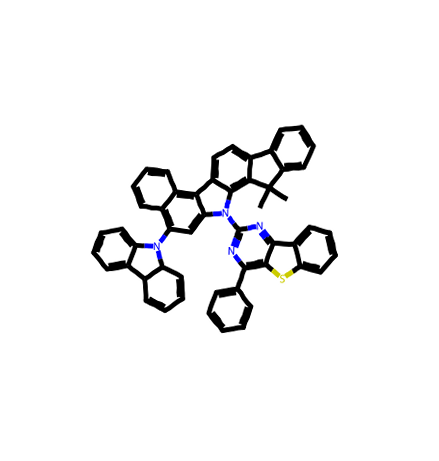 CC1(C)c2ccccc2-c2ccc3c4c5ccccc5c(N5c6ccccc6C6C=CC=CC65)cc4n(-c4nc(-c5ccccc5)c5sc6ccccc6c5n4)c3c21